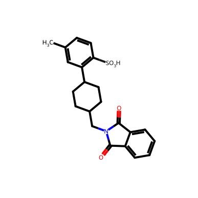 Cc1ccc(S(=O)(=O)O)c(C2CCC(CN3C(=O)c4ccccc4C3=O)CC2)c1